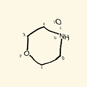 C1COCCN1.[O]